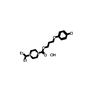 CCC(CC)N1CCN(C(=O)OCCCOc2ccc(Cl)cc2)CC1.Cl